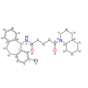 CCc1ccc2c(c1)C(NC(=O)CCCC(=O)N1CCCC3CCCCC31)c1ccccc1CC2